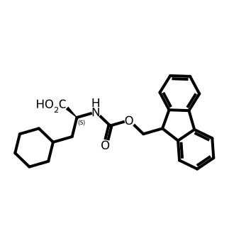 O=C(N[C@@H](CC1CCCCC1)C(=O)O)OCC1c2ccccc2-c2ccccc21